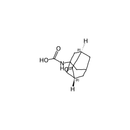 O=C(O)NC12CC3C[C@H](C1)C(=O)[C@H](C3)C2